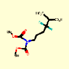 CC(C)(C)OC(=O)N(CCCC(F)(F)C(C(=O)O)C(=O)O)C(=O)OC(C)(C)C